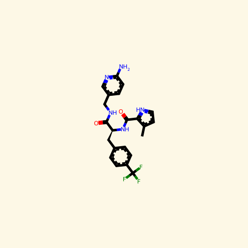 Cc1cc[nH]c1C(=O)N[C@@H](Cc1ccc(C(F)(F)F)cc1)C(=O)NCc1ccc(N)nc1